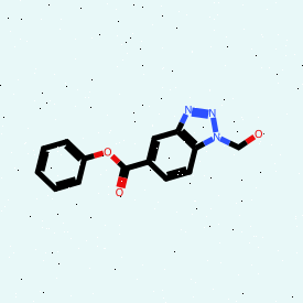 [O]Cn1nnc2cc(C(=O)Oc3ccccc3)ccc21